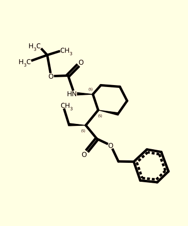 CC[C@H](C(=O)OCc1ccccc1)[C@@H]1CCCC[C@@H]1NC(=O)OC(C)(C)C